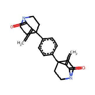 C=C1C(=O)N2CCC1(c1ccc(C34CCN(CC3)C(=O)C4=C)cc1)CC2